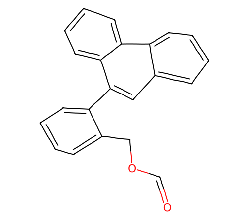 O=COCc1ccccc1-c1cc2ccccc2c2ccccc12